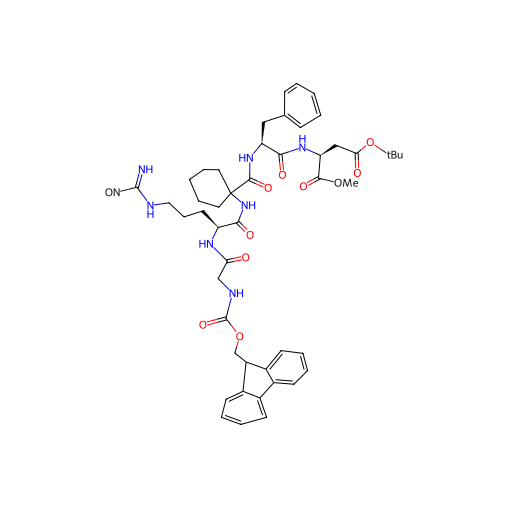 COC(=O)[C@H](CC(=O)OC(C)(C)C)NC(=O)[C@H](Cc1ccccc1)NC(=O)C1(NC(=O)[C@H](CCCNC(=N)N=O)NC(=O)CNC(=O)OCC2c3ccccc3-c3ccccc32)CCCCC1